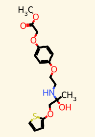 COC(=O)COc1ccc(OCCNC(C)(O)COc2cccs2)cc1